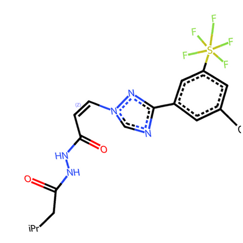 CC(C)CC(=O)NNC(=O)/C=C\n1cnc(-c2cc(C(F)(F)F)cc(S(F)(F)(F)(F)F)c2)n1